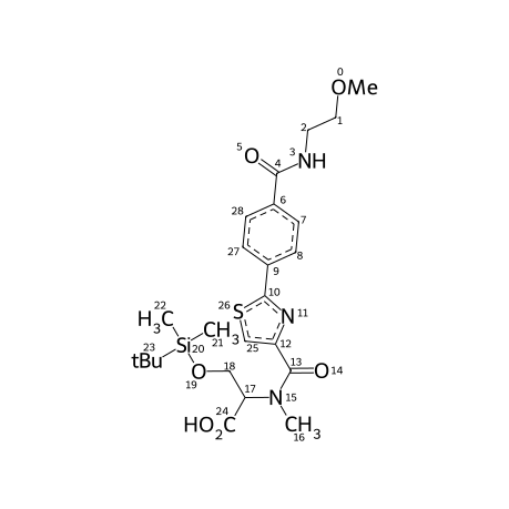 COCCNC(=O)c1ccc(-c2nc(C(=O)N(C)C(CO[Si](C)(C)C(C)(C)C)C(=O)O)cs2)cc1